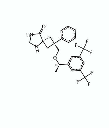 C[C@@H](OC[C@]1(c2ccccc2)C[C@]2(C1)NCNC2=O)c1cc(C(F)(F)F)cc(C(F)(F)F)c1